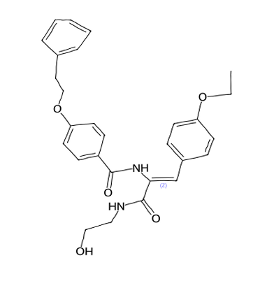 CCOc1ccc(/C=C(\NC(=O)c2ccc(OCCc3ccccc3)cc2)C(=O)NCCO)cc1